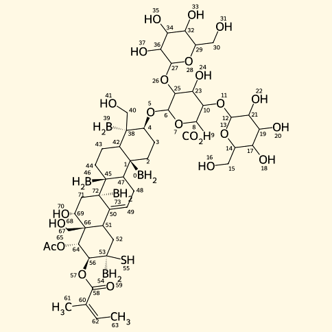 B[C@]12CC[C@H](OC3OC(C(=O)O)C(OC4OC(CO)C(O)C(O)C4O)C(O)C3OC3OC(CO)C(O)C(O)C3O)[C@](B)(CO)C1CC[C@]1(B)C2CC=C2C3C[C@@](B)(S)[C@@H](OC(=O)/C(C)=C\C)[C@H](OC(C)=O)[C@]3(CO)[C@H](O)C[C@]21B